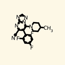 CC1CCN(c2c(-c3c(F)cc(F)cc3F)c(C#N)nc3ncnn23)CC1